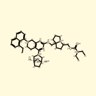 CCc1cccc2cccc(N3CCc4c(nc(OCC56CCCN5C(COC(=O)N(CC)CC)CC6)nc4N4C[C@H]5CC[C@@H](C4)N5)C3)c12